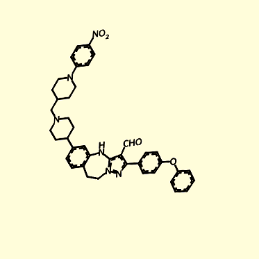 O=Cc1c(-c2ccc(Oc3ccccc3)cc2)nn2c1Nc1cc(C3CCN(CC4CCN(c5ccc([N+](=O)[O-])cc5)CC4)CC3)ccc1CC2